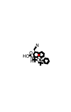 CC(C)(C)[C@]1(NC(=O)O)C[C@@H](CC#N)CC[C@H]1O[Si](c1ccccc1)(c1ccccc1)C(C)(C)C